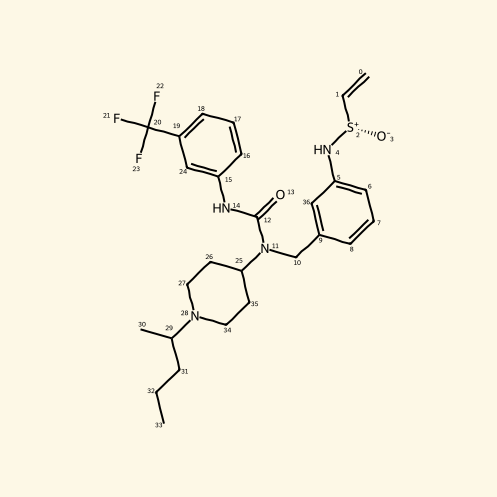 C=C[S@+]([O-])Nc1cccc(CN(C(=O)Nc2cccc(C(F)(F)F)c2)C2CCN(C(C)CCC)CC2)c1